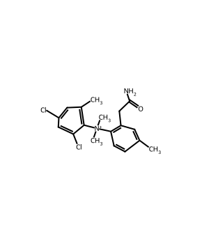 Cc1ccc([N+](C)(C)c2c(C)cc(Cl)cc2Cl)c(CC(N)=O)c1